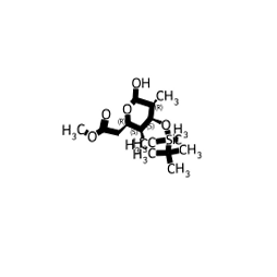 COC(=O)C[C@H]1OC(O)[C@H](C)[C@@H](O[Si](C)(C)C(C)(C)C)[C@H]1C